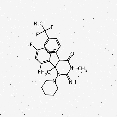 CN1C(=N)N(N2CCCCC2)C(C)(c2c(F)cc(F)cc2F)C(c2ccc(C(C)(F)F)cc2)C1=O